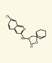 Clc1ccc2cc(NN3CC4(CC5CCC4CC5)ON3)ncc2c1